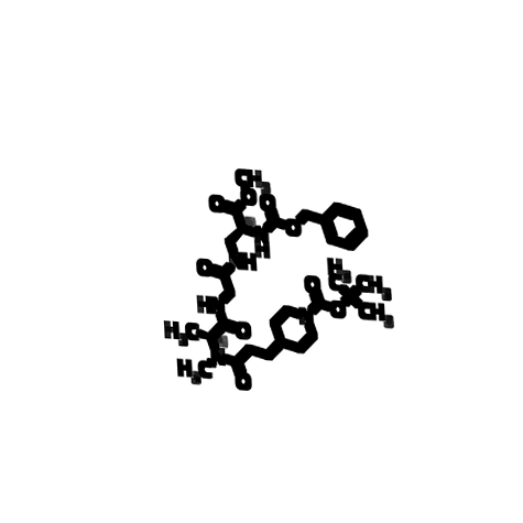 COC(=O)[C@H](CNC(=O)CNC(=O)[C@H](C)N(C)C(=O)CCC1CCN(C(=O)OC(C)(C)C)CC1)NC(=O)OCc1ccccc1